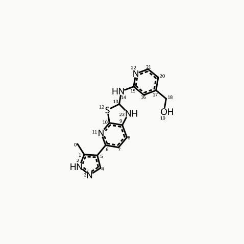 Cc1[nH]ncc1-c1ccc2c(n1)SC(Nc1cc(CO)ccn1)N2